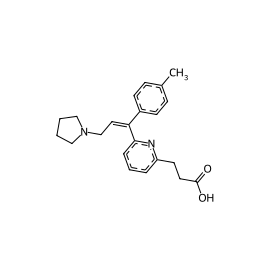 Cc1ccc(C(=CCN2CCCC2)c2cccc(CCC(=O)O)n2)cc1